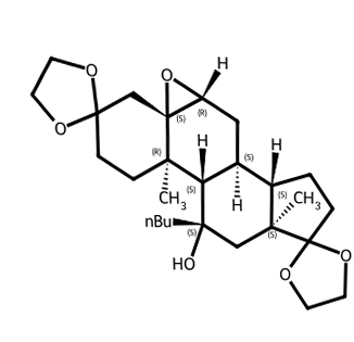 CCCC[C@]1(O)C[C@@]2(C)[C@@H](CCC23OCCO3)[C@@H]2C[C@H]3O[C@]34CC3(CC[C@]4(C)[C@H]21)OCCO3